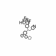 COc1ccc([C@H](Cc2ccncc2)c2ccc(C(O)(C(F)(F)F)C(F)(F)F)cc2)cc1OC1CCCC1